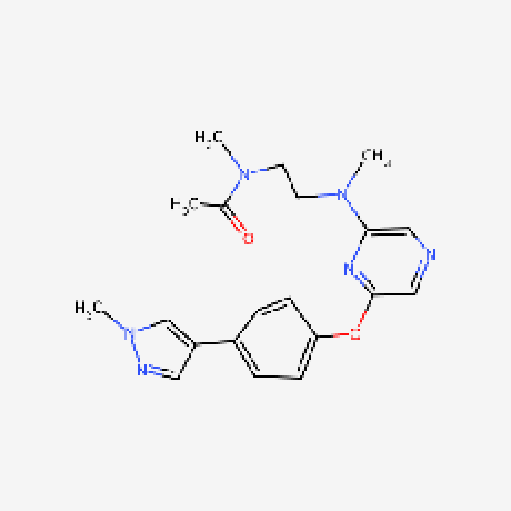 CC(=O)N(C)CCN(C)c1cncc(Oc2ccc(-c3cnn(C)c3)cc2)n1